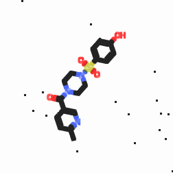 Cc1ccc(C(=O)N2CCN(S(=O)(=O)c3ccc(O)cc3)CC2)cn1